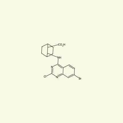 O=C(O)C1C2CCC(CC2)C1Nc1nc(Cl)nc2cc(Br)ccc12